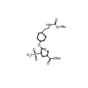 COC(=O)c1ccc(Oc2ccc(CCNC(=O)OC(C)(C)C)cc2)c(S(C)(=O)=O)c1